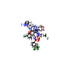 CCN1C(=O)[C@@H](NC(=O)c2cccc(C(F)(F)F)c2)[C@@H](c2ccc(F)cc2)c2c(C(=O)N3CC(NC)C[C@H]3C#N)nn(C3CCOCC3)c21